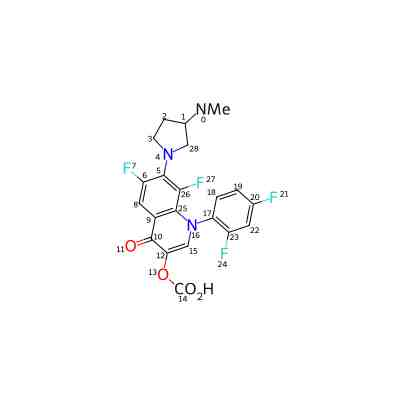 CNC1CCN(c2c(F)cc3c(=O)c(OC(=O)O)cn(-c4ccc(F)cc4F)c3c2F)C1